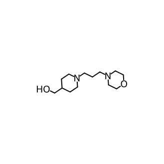 OCC1CCN(CCCN2CCOCC2)CC1